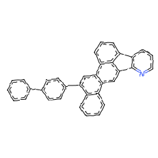 c1ccc(-c2ccc(-c3cc4c5cccc6c5c(cc4c4ccccc34)-c3ncccc3-6)cc2)cc1